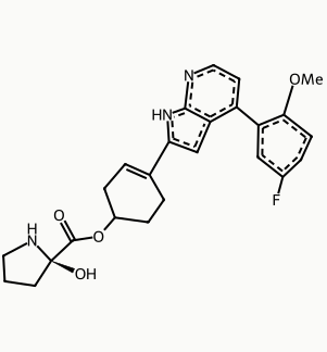 COc1ccc(F)cc1-c1ccnc2[nH]c(C3=CCC(OC(=O)[C@]4(O)CCCN4)CC3)cc12